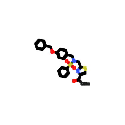 COC(=O)c1csc(CN(Cc2ccc(OCc3ccccc3)cc2)S(=O)(=O)c2ccccc2)n1